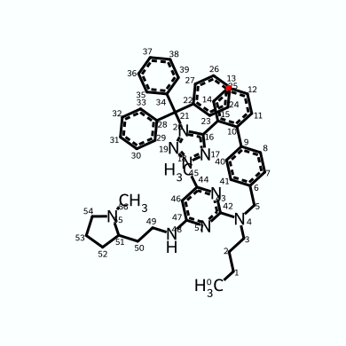 CCCCN(Cc1ccc(-c2ccccc2-c2nnnn2C(c2ccccc2)(c2ccccc2)c2ccccc2)cc1)c1nc(C)cc(NCCC2CCCN2C)n1